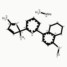 CCOc1ccc(-c2cccc(C3(C)C=CC(C)=N3)n2)c2c1CCCC2.CNC